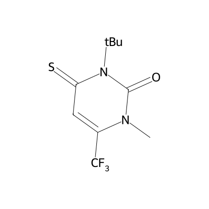 Cn1c(C(F)(F)F)cc(=S)n(C(C)(C)C)c1=O